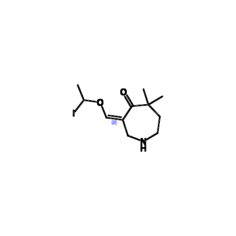 CC(I)O/C=C1/CNCCC(C)(C)C1=O